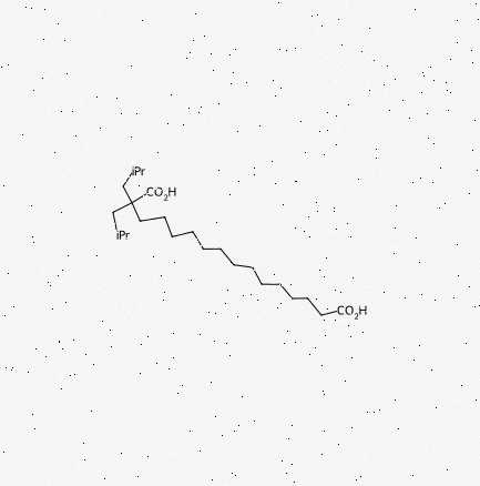 CC(C)CC(CCCCCCCCCCCCCC(=O)O)(CC(C)C)C(=O)O